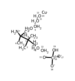 CC(C)(N)C(C)(C)N.O.O.O.O.O.O.[Cu].[O-][Cl+3]([O-])([O-])O